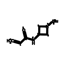 C=CC(=O)NC1CN(C(C)(C)C)C1